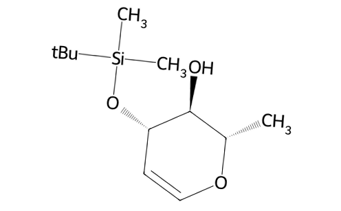 C[C@@H]1OC=C[C@H](O[Si](C)(C)C(C)(C)C)[C@H]1O